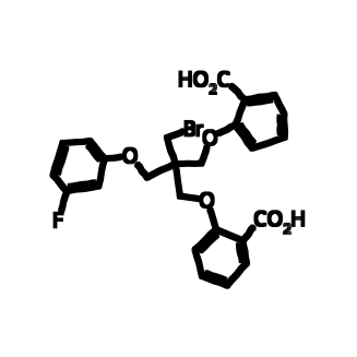 O=C(O)c1ccccc1OCC(CBr)(COc1cccc(F)c1)COc1ccccc1C(=O)O